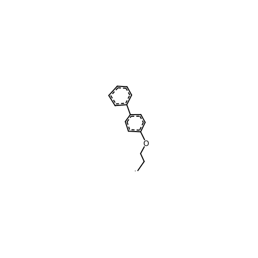 [CH2]CCOc1ccc(-c2ccccc2)cc1